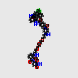 O=C1CCC(N2C(=O)c3cccc(NCCCOCCOCCOCCCNC4CCN(C(=O)c5ccc(NC(=O)[C@@H]6NC7(CCCCC7)[C@@]7(C(=O)Nc8cc(Cl)ccc87)[C@H]6c6cccc(Cl)c6F)cc5)CC4)c3C2=O)C(=O)N1